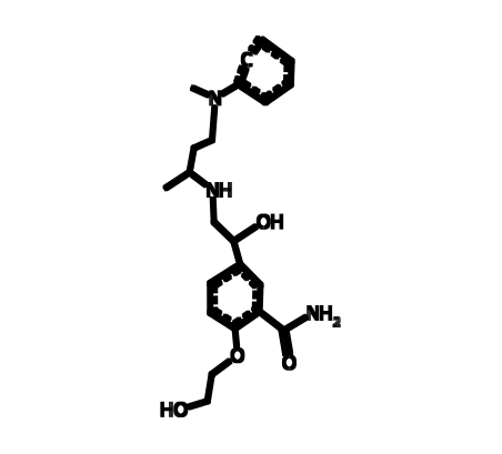 CC(CCN(C)c1ccccc1)NCC(O)c1ccc(OCCO)c(C(N)=O)c1